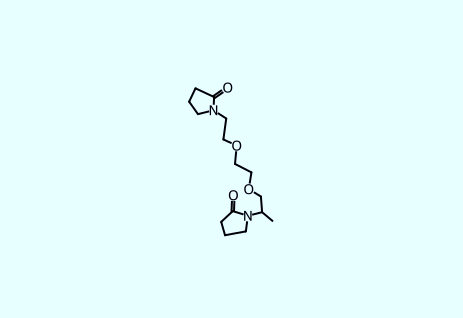 CC(COCCOCCN1CCCC1=O)N1CCCC1=O